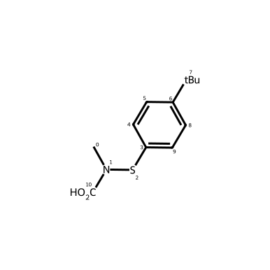 CN(Sc1ccc(C(C)(C)C)cc1)C(=O)O